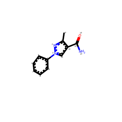 Cc1nn(-c2ccccc2)cc1C(N)=O